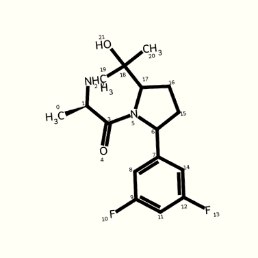 C[C@@H](N)C(=O)N1C(c2cc(F)cc(F)c2)CCC1C(C)(C)O